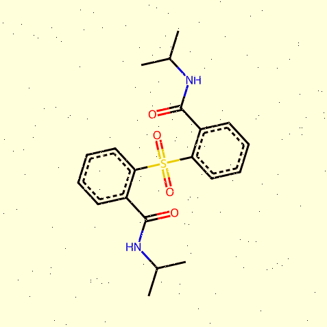 CC(C)NC(=O)c1ccccc1S(=O)(=O)c1ccccc1C(=O)NC(C)C